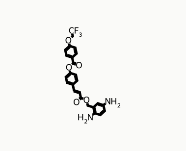 Nc1ccc(N)c(COC(=O)/C=C/c2ccc(OC(=O)c3ccc(OCC(F)(F)F)cc3)cc2)c1